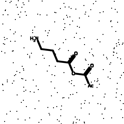 CC(=O)C(=O)OC(=O)CCCN